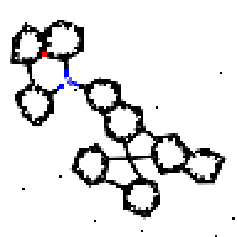 c1ccc(-c2ccccc2N(c2ccccc2)c2ccc3cc4c(cc3c2)C2(c3ccccc3-c3ccccc32)c2cc3ccccc3cc2-4)cc1